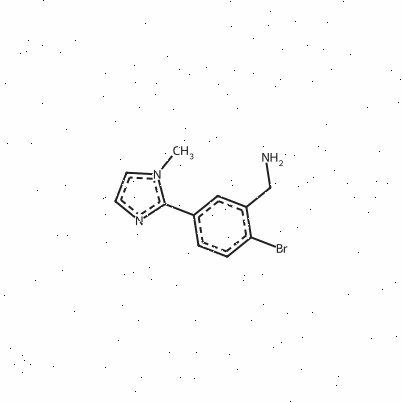 Cn1ccnc1-c1ccc(Br)c(CN)c1